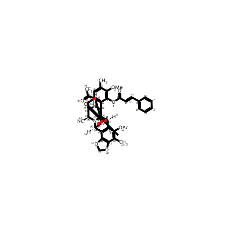 COc1c(C)cc2c(c1OC(=O)/C=C/c1ccccc1)C1NC(C2)[C@H](C#N)N2C1[C@@H]1SCC(NC(=O)C(F)(F)F)C(=O)OC[C@H]2c2c3c(c(C)c(OC(C)=O)c21)OCO3